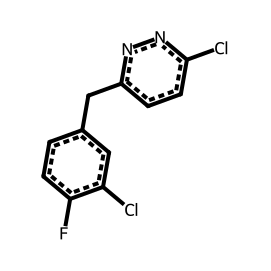 Fc1ccc(Cc2ccc(Cl)nn2)cc1Cl